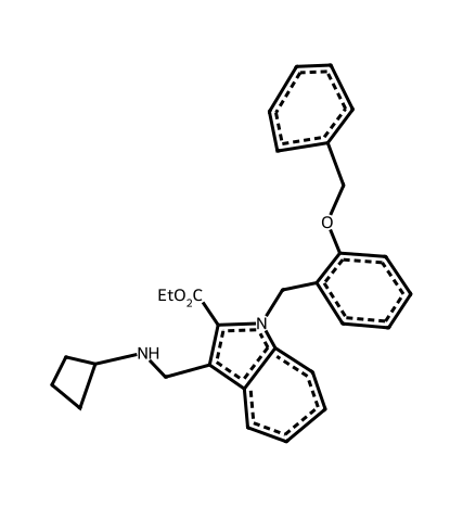 CCOC(=O)c1c(CNC2CCC2)c2ccccc2n1Cc1ccccc1OCc1ccccc1